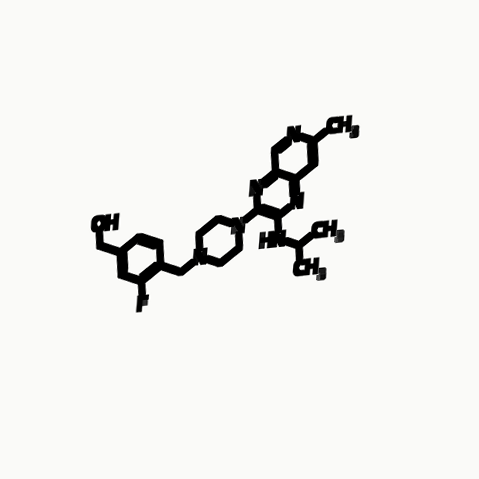 Cc1cc2nc(NC(C)C)c(N3CCN(Cc4ccc(CO)cc4F)CC3)nc2cn1